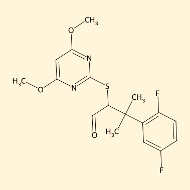 COc1cc(OC)nc(SC(C=O)C(C)(C)c2cc(F)ccc2F)n1